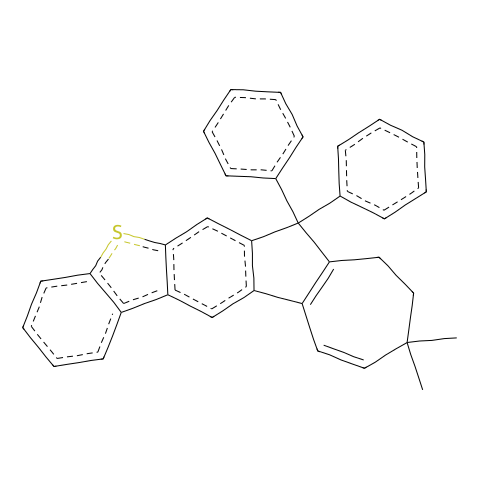 CC1(C)C=CC2=C(CC1)C(c1ccccc1)(c1ccccc1)c1cc3sc4ccccc4c3cc12